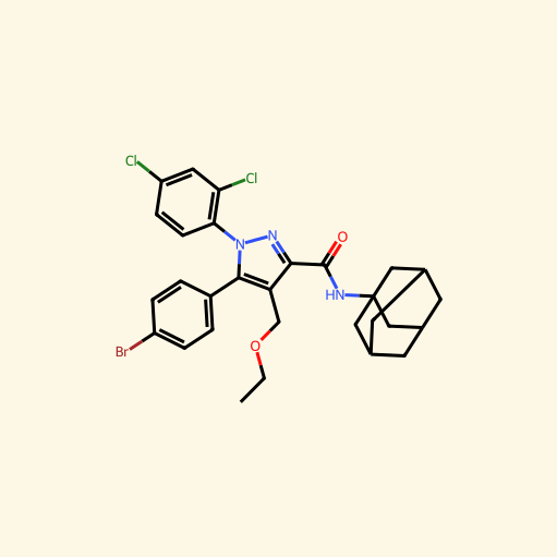 CCOCc1c(C(=O)NC23CC4CC(CC(C4)C2)C3)nn(-c2ccc(Cl)cc2Cl)c1-c1ccc(Br)cc1